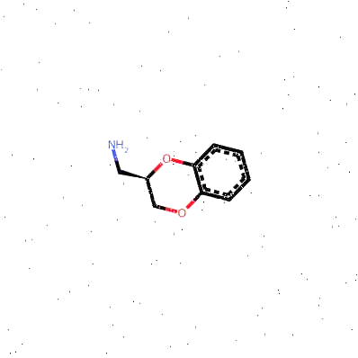 NC[C@@H]1COc2ccccc2O1